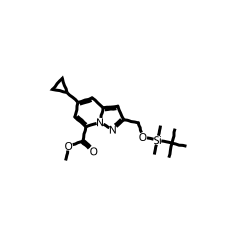 COC(=O)c1cc(C2CC2)cc2cc(CO[Si](C)(C)C(C)(C)C)nn12